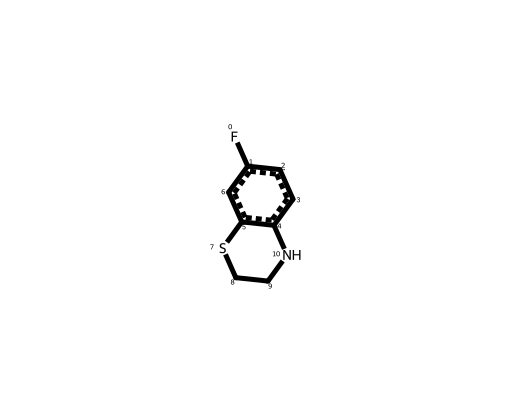 Fc1[c]cc2c(c1)SCCN2